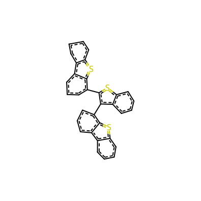 c1ccc2c(-c3cccc4c3sc3ccccc34)c(-c3cccc4c3sc3ccccc34)sc2c1